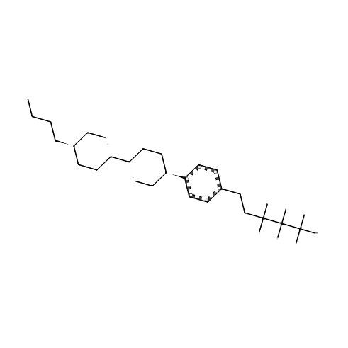 CCCC[C@H]1CC[C@H]([C@H]2CC[C@H](c3ccc(CCC(F)(F)C(F)(F)C(F)(F)F)cc3)CC2)CC1